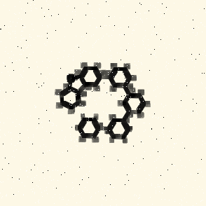 c1ccc(-c2cccc(-c3cccc(-c4cccc(-c5ccc6oc7ccccc7c6c5)c4)c3)c2)cc1